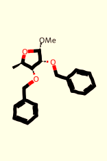 CO[C@H]1O[C@H](C)[C@@H](OCc2ccccc2)[C@H]1OCc1ccccc1